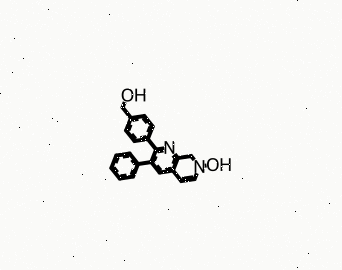 OCc1ccc(-c2nc3c(cc2-c2ccccc2)C=CN(O)C3)cc1